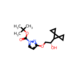 CC(C)(C)OC(=O)n1ccc(OC[C@@H](O)C2C3(CC3)C23CC3)n1